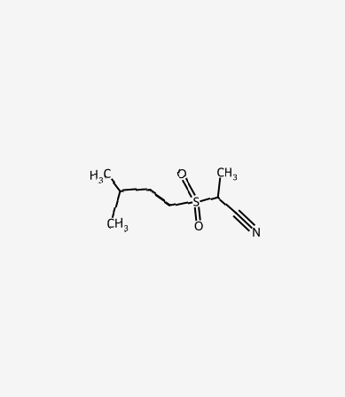 CC(C)CCS(=O)(=O)C(C)C#N